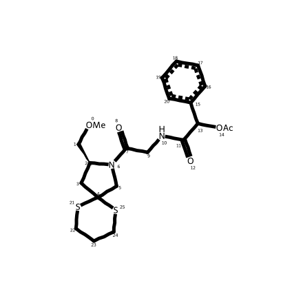 COC[C@@H]1CC2(CN1C(=O)CNC(=O)C(OC(C)=O)c1ccccc1)SCCCS2